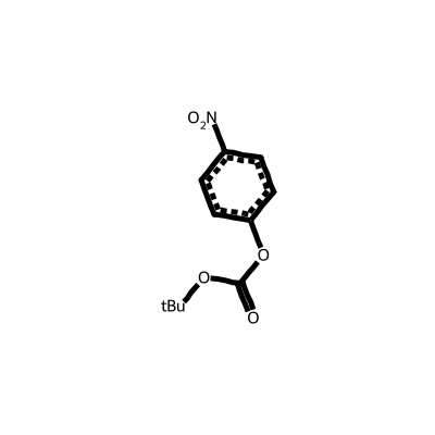 CC(C)(C)OC(=O)Oc1ccc([N+](=O)[O-])cc1